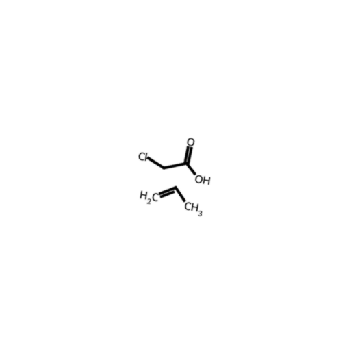 C=CC.O=C(O)CCl